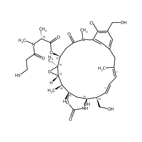 C/C1=C\C=C\[C@@H](CO)[C@@]2(O)C[C@H](OC(=O)N2)[C@@H](C)[C@@H]2O[C@@]2(C)[C@@H](OC(=O)[C@@H](C)N(C)C(=O)CCS)CC(=O)N(C)c2cc(cc(CO)c2Cl)C1